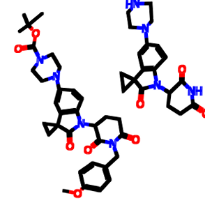 COc1ccc(CN2C(=O)CCC(N3C(=O)C4(CC4)c4cc(N5CCN(C(=O)OC(C)(C)C)CC5)ccc43)C2=O)cc1.O=C1CCC(N2C(=O)C3(CC3)c3cc(N4CCNCC4)ccc32)C(=O)N1